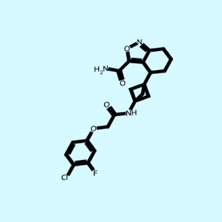 NC(=O)c1onc2c1C(C13CC(NC(=O)COc4ccc(Cl)c(F)c4)(C1)C3)CCC2